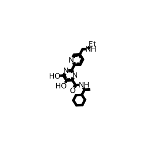 CCNCc1ccc(-c2nc(O)c(O)c(C(=O)NC(C)C3CCCCC3)n2)nc1